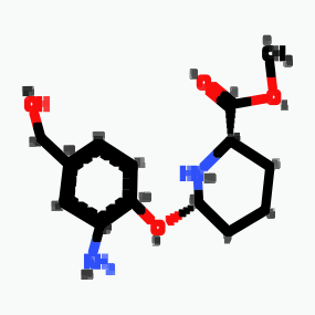 COC(=O)[C@@H]1CCC[C@H](Oc2ccc(CO)cc2N)N1